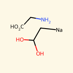 NCC(=O)O.OC(O)[CH2][Na]